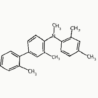 Cc1ccc(N(C)c2ccc(-c3ccccc3C)cc2C)c(C)c1